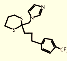 FC(F)(F)c1ccc(CCCC2(Cn3ccnc3)SCCCS2)cc1